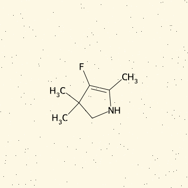 CC1=C(F)C(C)(C)CN1